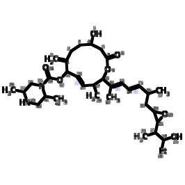 C=C1CCC(O)CC(=O)OC(/C(C)=C/C=C/C(C)CC2OC2C(C)C(O)CC)C(C)/C=C/C1OC(=O)N1CC(C)NCC1C